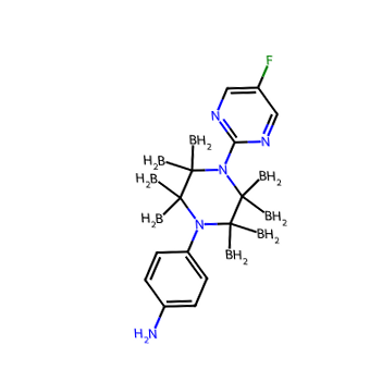 BC1(B)N(c2ccc(N)cc2)C(B)(B)C(B)(B)N(c2ncc(F)cn2)C1(B)B